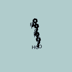 O=C(O)CCN1CCN(c2ccc(OCc3ccc(C4CCCCC4)c(C(F)(F)F)c3)nn2)CC1